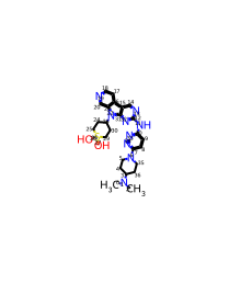 CN(C)C1CCN(c2ccc(Nc3ncc4c5ccncc5n(C5CCS(O)(O)CC5)c4n3)nn2)CC1